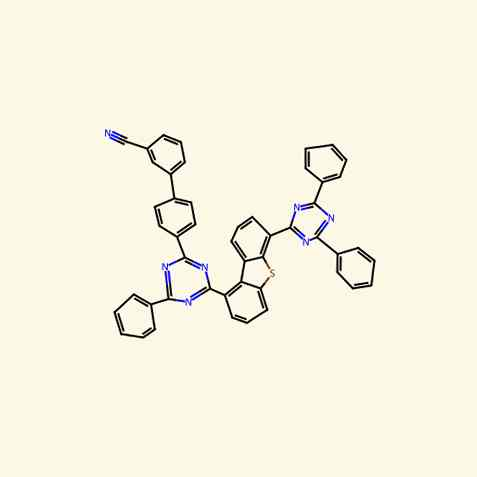 N#Cc1cccc(-c2ccc(-c3nc(-c4ccccc4)nc(-c4cccc5sc6c(-c7nc(-c8ccccc8)nc(-c8ccccc8)n7)cccc6c45)n3)cc2)c1